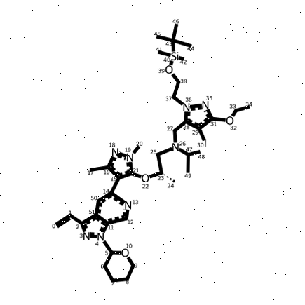 C=Cc1nn(C2CCCCO2)c2cnc(-c3c(C)nn(C)c3O[C@@H](C)CN(Cc3c(I)c(OCC)nn3CCO[Si](C)(C)C(C)(C)C)C(C)C)cc12